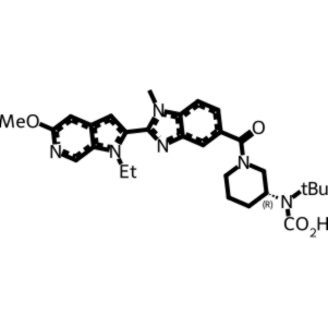 CCn1c(-c2nc3cc(C(=O)N4CCC[C@@H](N(C(=O)O)C(C)(C)C)C4)ccc3n2C)cc2cc(OC)ncc21